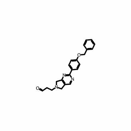 O=CCCN1Cc2cnc(-c3ccc(OCc4ccccc4)cc3)nc2C1